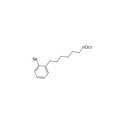 CCCCCCCCCCCCCCc1ccccc1[Se]